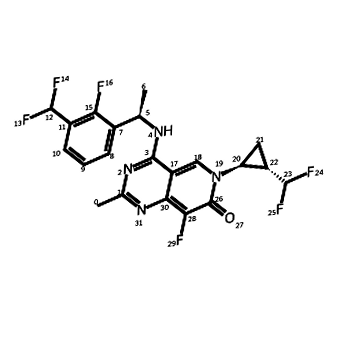 Cc1nc(N[C@H](C)c2cccc(C(F)F)c2F)c2cn([C@H]3C[C@@H]3C(F)F)c(=O)c(F)c2n1